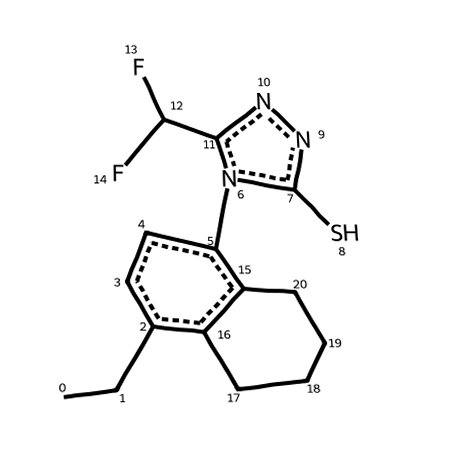 CCc1ccc(-n2c(S)nnc2C(F)F)c2c1CCCC2